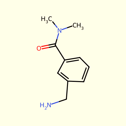 CN(C)C(=O)c1cccc(CN)c1